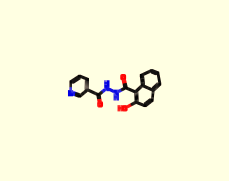 O=C(NNC(=O)c1c(O)ccc2ccccc12)c1cccnc1